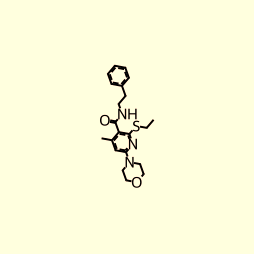 CCSc1nc(N2CCOCC2)cc(C)c1C(=O)NCCc1ccccc1